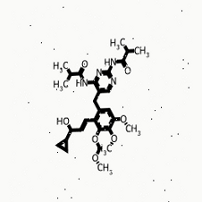 COCOc1c(/C=C/C(O)C2CC2)c(Cc2cnc(NC(=O)C(C)C)nc2NC(=O)C(C)C)cc(OC)c1OC